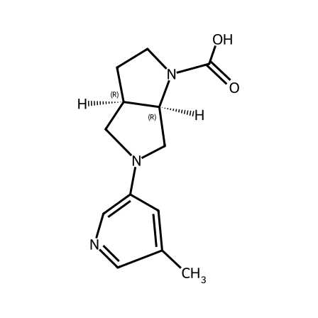 Cc1cncc(N2C[C@H]3CCN(C(=O)O)[C@H]3C2)c1